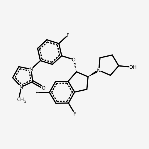 Cn1ccn(-c2ccc(F)c(O[C@H]3c4cc(F)cc(F)c4C[C@@H]3N3CCC(O)C3)c2)c1=O